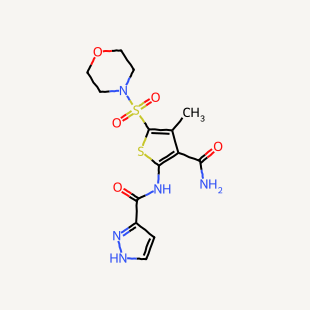 Cc1c(S(=O)(=O)N2CCOCC2)sc(NC(=O)c2cc[nH]n2)c1C(N)=O